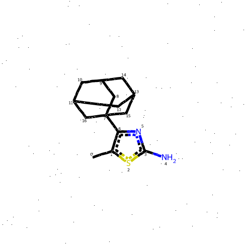 Cc1sc(N)nc1C12CC3CC(CC(C3)C1)C2